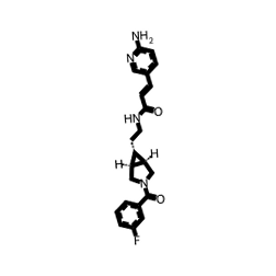 Nc1ccc(/C=C/C(=O)NCC[C@@H]2[C@H]3CN(C(=O)c4cccc(F)c4)C[C@@H]23)cn1